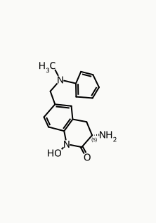 CN(Cc1ccc2c(c1)C[C@H](N)C(=O)N2O)c1ccccc1